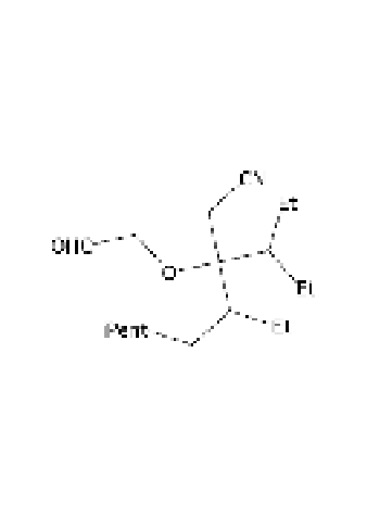 CCCC(C)CC(CC)C(CC#N)(OCC=O)C(CC)CC